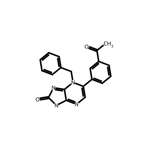 CC(=O)c1cccc(C2=CN=C3[N]C(=O)N=C3N2Cc2ccccc2)c1